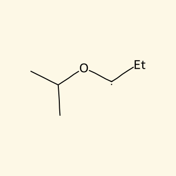 [CH2]C[CH]OC(C)C